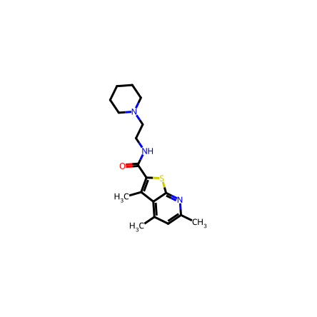 Cc1cc(C)c2c(C)c(C(=O)NCCN3CCCCC3)sc2n1